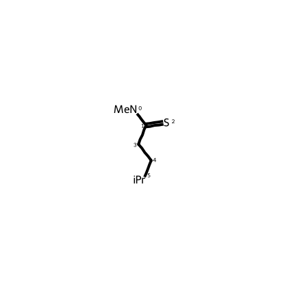 CNC(=S)CCC(C)C